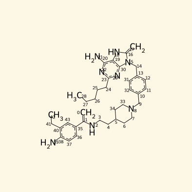 C=C(NCCC1CCN(Cc2ccc(CN3C(=C)Nc4c(N)nc(CCCCC)nc43)cc2)CC1)c1ccc(N)c(CC)c1